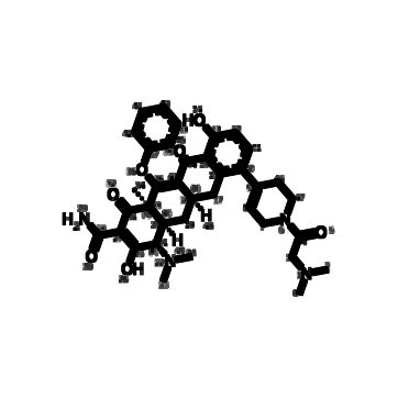 CN(C)CC(=O)N1CC=C(c2ccc(O)c3c2C[C@H]2C[C@H]4[C@@H](N(C)C)C(O)=C(C(N)=O)C(=O)[C@@]4(C)C(Oc4ccccc4)=C2C3=O)CC1